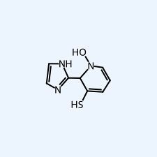 ON1C=CC=C(S)C1c1ncc[nH]1